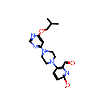 COc1ccc(N2CCN(c3cc(OCC(C)C)ncn3)CC2)c(C=O)n1